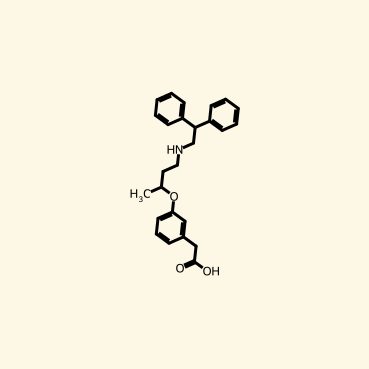 CC(CCNCC(c1ccccc1)c1ccccc1)Oc1cccc(CC(=O)O)c1